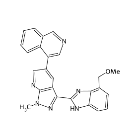 COCc1cccc2[nH]c(-c3nn(C)c4ncc(-c5cncc6ccccc56)cc34)nc12